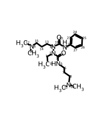 CCN(C(=O)NCCCN(C)C)N(CCCN(C)C)C(=O)Nc1ccccc1